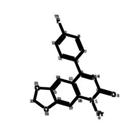 CC(C)n1c(=O)nc(-c2ccc(F)cc2)c2cc3c(cc21)OCO3